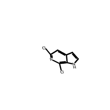 Clc1cc2cc[nH]c2c(Cl)n1